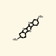 CCCCc1ccc2c(c1)sc1c2sc2c3ccc(CCCC)cc3sc21